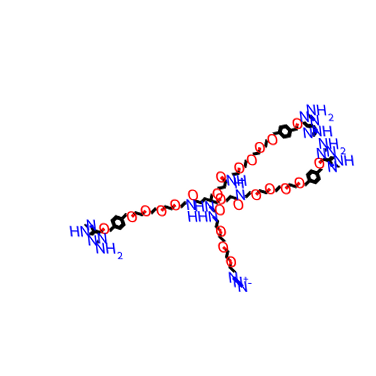 [N-]=[N+]=NCCOCCOCCOCCNC(=O)NC(CCC(=O)NCCOCCOCCOCCOCc1ccc(COc2nc(N)nc3[nH]cnc23)cc1)(COCCC(=O)NCCOCCOCCOCCOCc1ccc(COc2nc(N)nc3[nH]cnc23)cc1)COCCC(=O)NCCOCCOCCOCCOCc1ccc(COc2nc(N)nc3[nH]cnc23)cc1